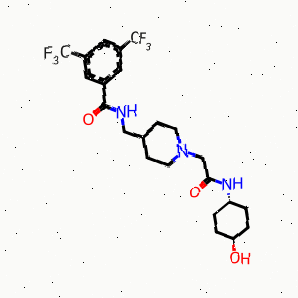 O=C(CN1CCC(CNC(=O)c2cc(C(F)(F)F)cc(C(F)(F)F)c2)CC1)N[C@H]1CC[C@H](O)CC1